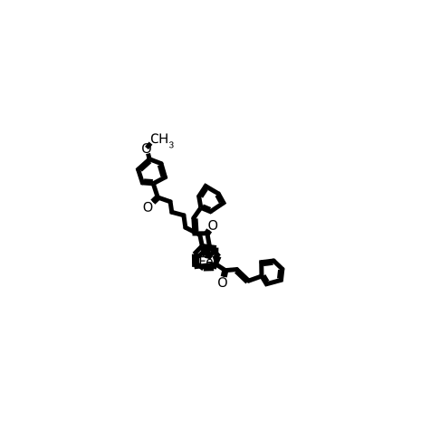 COc1ccc(C(=O)CCCCC[C]23[CH]4[CH]5[C]6(C(=O)C=Cc7ccccc7)[CH]2[Fe]45362789[CH]3[CH]2[CH]7[C]8(C(=O)C=Cc2ccccc2)[CH]39)cc1